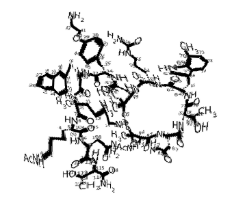 CC(=O)NCCCC[C@H](NC(=O)[C@](C)(CCCCN)NC(=O)[C@H](Cc1ccc2ccccc2c1)NC(=O)[C@H](Cc1ccc(OCCN)cc1)NC(=O)[C@H]1NC(=O)[C@H](CCCNC(N)=O)NC(=O)[C@H](Cc2c[nH]c3c(C)cccc23)NC(=O)[C@H]([C@@H](C)O)NC(=O)[C@H](CC(N)=O)NC(=O)[C@@H](NC(C)=O)C(C)(C)SSC1(C)C)C(=O)N[C@@H](CC(N)=O)C(=O)NC(C(N)=O)[C@H](C)O